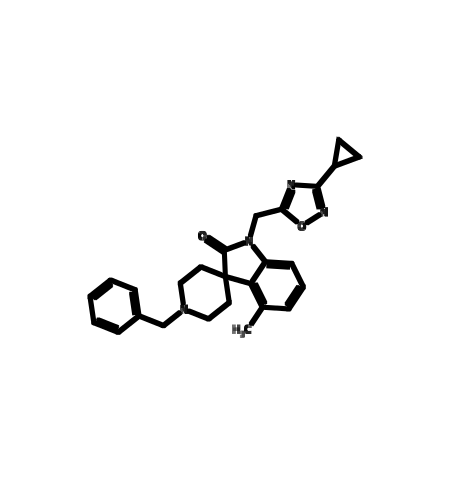 Cc1cccc2c1C1(CCN(Cc3ccccc3)CC1)C(=O)N2Cc1nc(C2CC2)no1